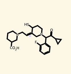 O=C(O)C1CCCN(C/C=C2/CN(C(C(=O)C3CC3)c3ccccc3F)CCC2S)C1